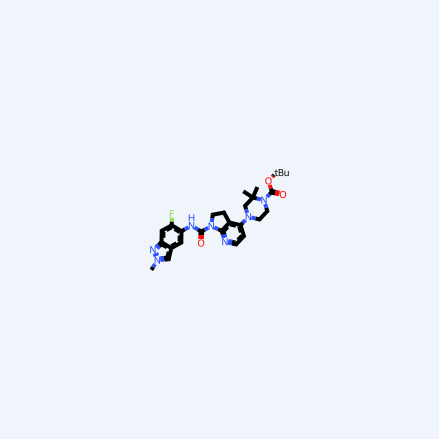 Cn1cc2cc(NC(=O)N3CCc4c(N5CCN(C(=O)OC(C)(C)C)C(C)(C)C5)ccnc43)c(F)cc2n1